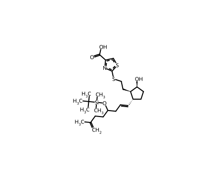 C=C(C)CCC(C/C=C/[C@H]1CC[C@H](O)[C@@H]1CCSc1nc(C(=O)O)cs1)O[Si](C)(C)C(C)(C)C